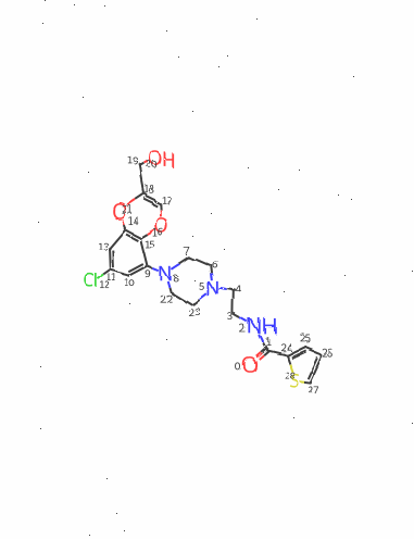 O=C(NCCN1CCN(c2cc(Cl)cc3c2OC=C(CO)O3)CC1)c1cccs1